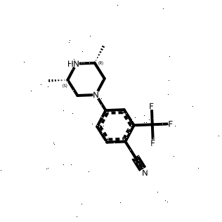 C[C@@H]1CN(c2ccc(C#N)c(C(F)(F)F)c2)C[C@H](C)N1